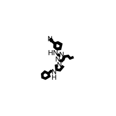 CCCc1cc(N2CCC(NCC3CCCCC3)C2)nc(Nc2cccc(C#N)c2)n1